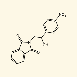 O=C1c2ccccc2C(=O)N1CC(O)c1ccc([N+](=O)[O-])cc1